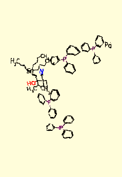 CCC[CH2][Sn](/[CH]=C/C(O)(C(C)C)C1(C#N)CCC1)([CH2]CCC)[CH2]CCC.[Pd].c1ccc(P(c2ccccc2)c2ccccc2)cc1.c1ccc(P(c2ccccc2)c2ccccc2)cc1.c1ccc(P(c2ccccc2)c2ccccc2)cc1.c1ccc(P(c2ccccc2)c2ccccc2)cc1